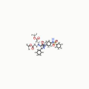 CC(C)OC(=O)CCN(CCC(=O)OC(C)C)C12C(=O)N(c3ccc(NS(=O)(=O)c4ccccc4)cc3)N(C1C)C2c1ccccc1